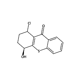 O=c1c2c(sc3ccccc13)[C@@H](O)CCC2Cl